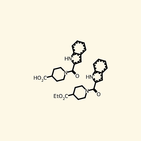 CCOC(=O)C1CCN(C(=O)c2cc3ccccc3[nH]2)CC1.O=C(O)C1CCN(C(=O)c2cc3ccccc3[nH]2)CC1